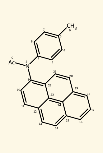 CC(=O)N(c1ccc(C)cc1)c1ccc2ccc3cccc4ccc1c2c34